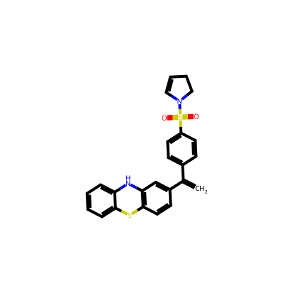 C=C(c1ccc(S(=O)(=O)N2C=CCC2)cc1)c1ccc2c(c1)Nc1ccccc1S2